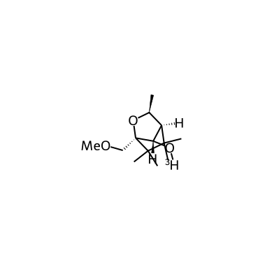 [3H]O[C@H]1[C@H]2[C@H](C)O[C@]1(COC)C(C)(C)C2(C)C